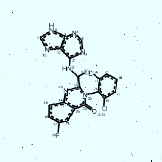 CCC(Nc1ncnc2[nH]cnc12)c1nc2ccc(F)cc2c(=O)n1-c1c(Cl)cccc1Cl